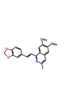 COc1cc2cc(C)nc(C=Cc3ccc4c(c3)OCO4)c2cc1OC